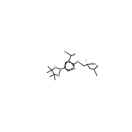 CC(C)C[C@](C)(N)COc1ncc(B2OC(C)(C)C(C)(C)O2)cc1C(F)F